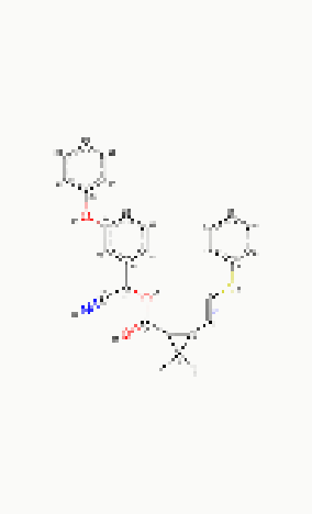 CC1(C)C(/C=C/Sc2ccccc2)C1C(=O)OC(C#N)c1cccc(Oc2ccccc2)c1